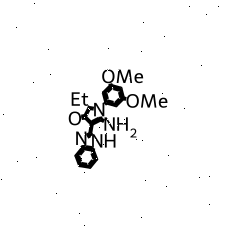 CC[C@H]1C(=O)C(c2nc3ccccc3[nH]2)=C(N)N1c1cc(OC)cc(OC)c1